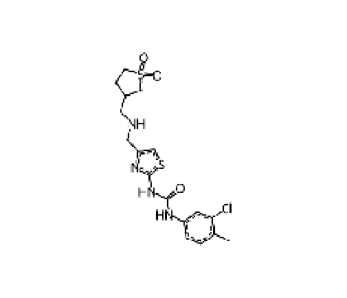 Cc1ccc(NC(=O)Nc2nc(CNCC3CCS(=O)(=O)C3)cs2)cc1Cl